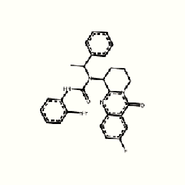 CCCc1ccccc1NC(=O)N(C(C)c1ccccc1)C1CCCn2c1nc1ccc(F)cc1c2=O